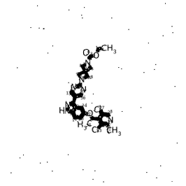 CCOC(=O)N1CC2(C1)CN(c1ncc(-c3n[nH]c4ccc(O[C@H](C)c5c(Cl)cnc(C)c5Cl)cc34)cn1)C2